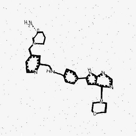 N[C@@H]1CCCN(Cc2ccnc(CNc3ccc(-c4cc5c(N6CCOCC6)ncnc5[nH]4)cc3)c2)C1